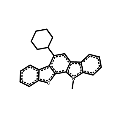 Cn1c2ccccc2c2cc(C3CCCCC3)c3c4ccccc4oc3c21